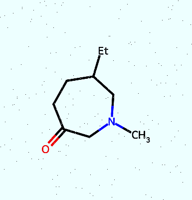 CCC1CCC(=O)CN(C)C1